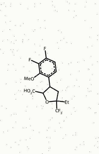 CCC1(C(F)(F)F)CC(c2ccc(F)c(F)c2OC)C(C(=O)O)O1